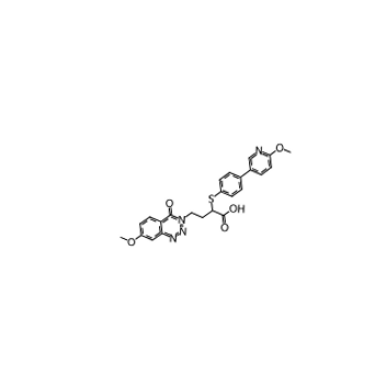 COc1ccc2c(=O)n(CCC(Sc3ccc(-c4ccc(OC)nc4)cc3)C(=O)O)nnc2c1